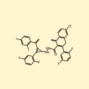 C=C(C1=C(c2cc(F)ccc2F)N1NNC(=O)C1=C(c2cc(F)ccc2F)Cc2cc(Cl)ccc2C1=C)c1ccc(C)cc1C